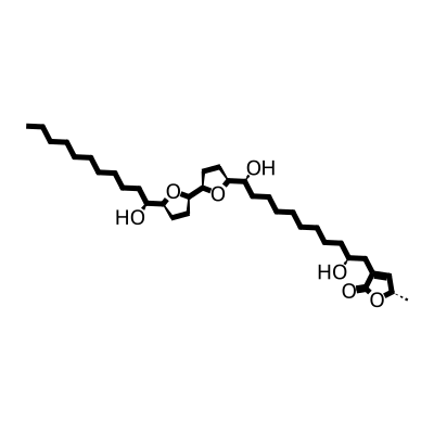 CCCCCCCCCC[C@H](O)[C@@H]1CC[C@H]([C@H]2CC[C@@H]([C@H](O)CCCCCCCC[C@@H](O)CC3=C[C@H](C)OC3=O)O2)O1